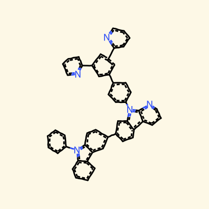 c1ccc(-n2c3ccccc3c3cc(-c4ccc5c6cccnc6n(-c6ccc(-c7cc(-c8ccccn8)cc(-c8ccccn8)c7)cc6)c5c4)ccc32)cc1